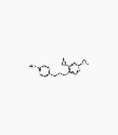 COc1ccc(CCCc2ccc(O)cc2)c(OC)c1